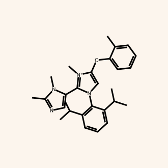 Cc1ccccc1Oc1cn(-c2c(C(C)C)cccc2C(C)C)c(-c2cnc(C)n2C)[n+]1C